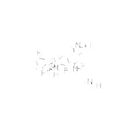 Cc1cc(-c2sc(C3CCN(C)CC3)nc2-c2cccc(NS(=O)(=O)c3cc(F)ccc3F)c2F)ccn1